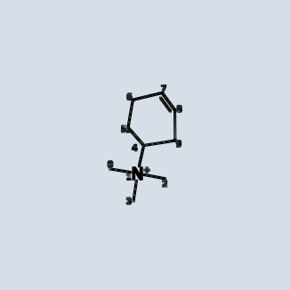 C[N+](C)(C)C1[CH]CC=CC1